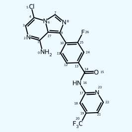 Nc1ncc(Cl)n2cnc(-c3ccc(C(=O)Nc4cc(C(F)(F)F)ccn4)cc3F)c12